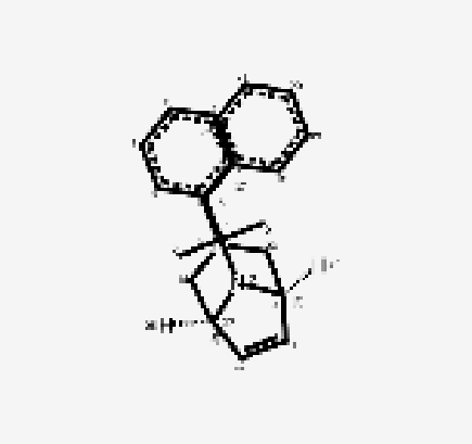 CC(C)(c1ccccc1)N1[C@@H]2C=C[C@H]1CN(Cc1ccccc1)C2